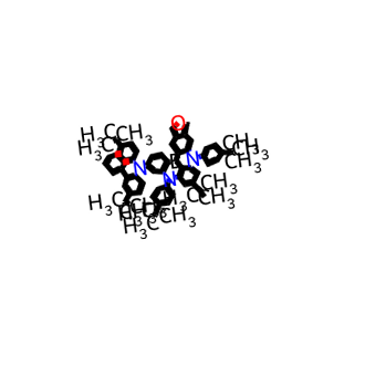 CC(C)(C)c1ccc(N(c2ccc3c(c2)N(c2ccc(C(C)(C)C)cc2)c2cc(C(C)(C)C)cc4c2B3c2cc3cocc3cc2N4c2ccc(C(C)(C)C)cc2)c2ccc(C(C)(C)C)cc2-c2ccccc2)cc1